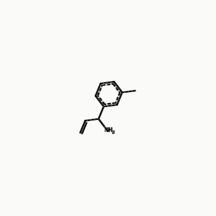 C=CC(N)c1cccc(C)c1